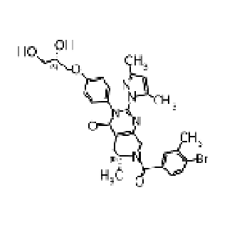 Cc1cc(C)n(-c2nc3c(c(=O)n2-c2ccc(OC[C@@H](O)CO)cc2)C[C@@H](C)N(C(=O)c2ccc(Br)c(C)c2)C3)n1